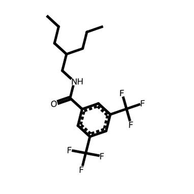 CCCC(CCC)CNC(=O)c1cc(C(F)(F)F)cc(C(F)(F)F)c1